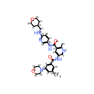 Cc1ncc(NC(=O)c2cc(N3CCOCC3)cc(C(F)(F)F)c2)cc1C(=O)Nc1ccc(NCC2CCOCC2)nc1